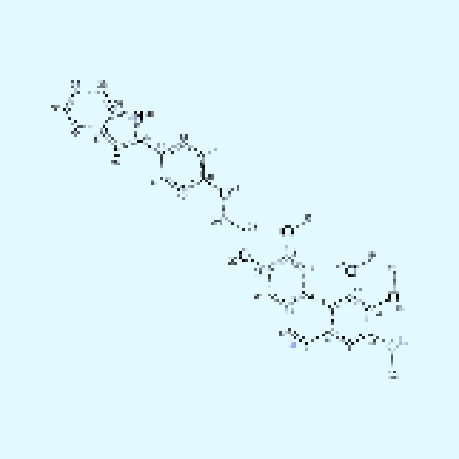 COc1ccc(/C=C\c2cc(OC)c(OC)c(OC)c2)cc1OCCOc1ccc(-c2nc3ccccc3s2)cc1